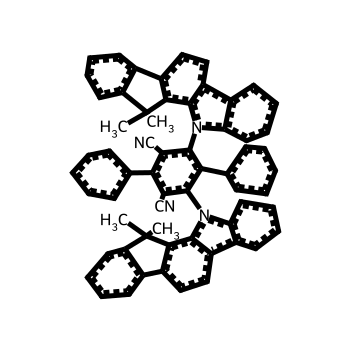 CC1(C)c2ccccc2-c2ccc3c4ccccc4n(-c4c(C#N)c(-c5ccccc5)c(C#N)c(-n5c6ccccc6c6ccc7c(c65)C(C)(C)c5ccccc5-7)c4-c4ccccc4)c3c21